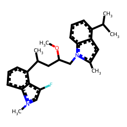 COC(CC(C)c1cccc2c1c(F)cn2C)Cn1c(C)cc2c(C(C)C)cccc21